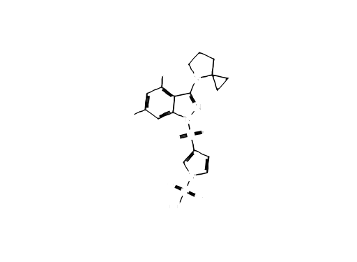 CC(C)S(=O)(=O)n1ccc(S(=O)(=O)n2nc(N3CCCC34CC4)c3c(Cl)cc(F)cc32)c1